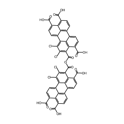 O=C(O)c1ccc2c3ccc(C(=O)O)c4c(C(=O)OC(=O)c5c(Cl)c(Cl)c6c7ccc(C(=O)O)c8c(C(=O)O)ccc(c9ccc(C(=O)O)c5c96)c87)c(Cl)c(Cl)c(c5ccc(C(=O)O)c1c25)c43